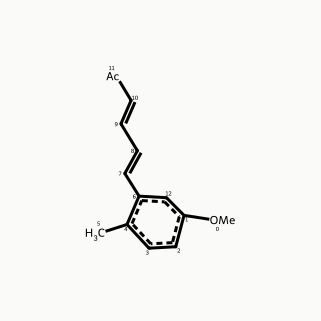 COc1ccc(C)c(/C=C/C=C/C(C)=O)c1